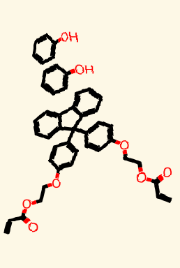 C=CC(=O)OCCOc1ccc(C2(c3ccc(OCCOC(=O)C=C)cc3)c3ccccc3-c3ccccc32)cc1.Oc1ccccc1.Oc1ccccc1